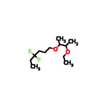 CCOC(C)C(C)OCCCC(F)(F)CC